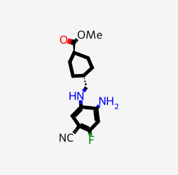 COC(=O)[C@H]1CC[C@H](CNc2cc(C#N)c(F)cc2N)CC1